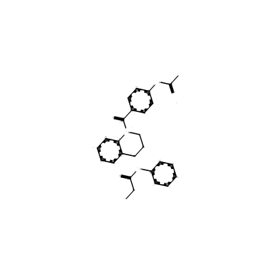 CCC(=O)N(c1ccccc1)[C@H]1C[C@@H](C)N(C(=O)c2ccc(NC(C)=O)cc2)c2ccccc21